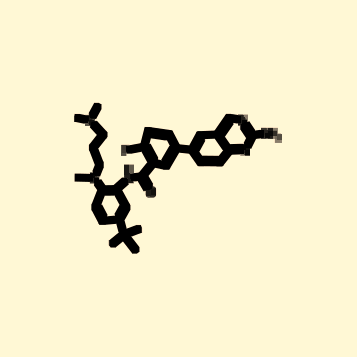 CN(C)CCCN(C)c1ccc(C(C)(C)C)cc1NC(=O)c1cc(-c2ccc3nc(N)ncc3c2)ccc1F